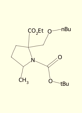 CCCCOCC1(C(=O)OCC)CCC(C)N1C(=O)OC(C)(C)C